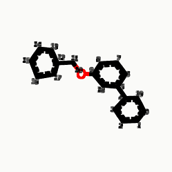 [c]1cccc(-c2cccc(OCc3ccccc3)c2)c1